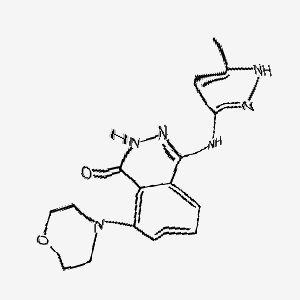 Cc1cc(Nc2n[nH]c(=O)c3c(N4CCOCC4)cccc23)n[nH]1